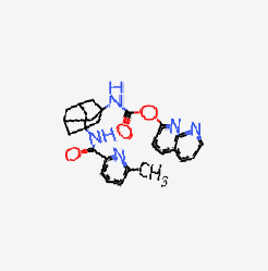 Cc1cccc(C(=O)NC23CC4CC(CC(NC(=O)Oc5ccc6cccnc6n5)(C4)C2)C3)n1